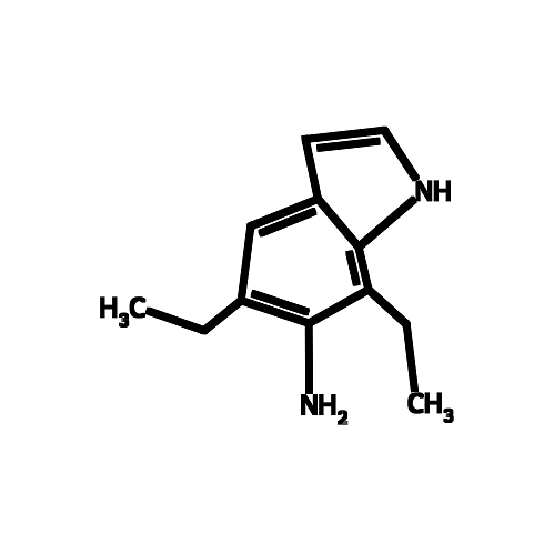 CCc1cc2cc[nH]c2c(CC)c1N